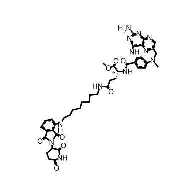 COC(=O)[C@@H](CCC(=O)NCCCCCCCCNc1cccc2c1C(=O)N(C1CCC(=O)NC1=O)C2=O)NC(=O)c1ccc(N(C)Cc2cnc3nc(N)nc(N)c3n2)cc1